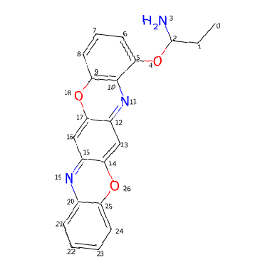 CCC(N)Oc1cccc2c1N=c1cc3c(cc1O2)=Nc1ccccc1O3